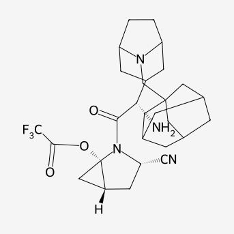 N#C[C@@H]1C[C@@H]2C[C@@]2(OC(=O)C(F)(F)F)N1C(=O)[C@@H](N)C1CC2CCC(C1)N2CC12CC3CC(CC(C3)C1)C2